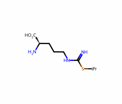 CC(C)SC(=N)NCCC[C@@H](N)C(=O)O